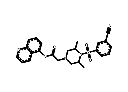 CC1CN(CC(=O)Nc2cccc3ncccc23)CC(C)N1S(=O)(=O)c1cccc(C#N)c1